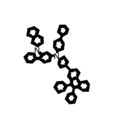 c1ccc(-c2ccc(N(c3ccc(-c4ccc5c(c4)c(-c4ccccc4)c(-c4ccccc4)c4ccccc45)cc3)c3ccc4c5ccccc5n(-c5ccc6ccccc6c5)c4c3)cc2)cc1